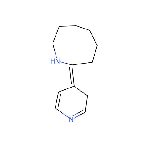 C1=CC(=C2CCCCCCN2)CC=N1